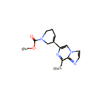 CSc1nc(C2=CCCN(C(=O)OC(C)(C)C)C2)cn2ccnc12